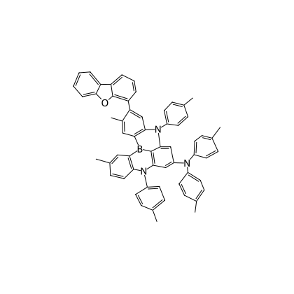 Cc1ccc(N(c2ccc(C)cc2)c2cc3c4c(c2)N(c2ccc(C)cc2)c2cc(-c5cccc6c5oc5ccccc56)c(C)cc2B4c2cc(C)ccc2N3c2ccc(C)cc2)cc1